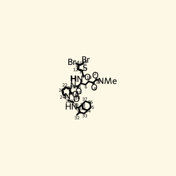 CNC(=O)C(=O)CCC(NC(=O)c1cc(Br)c(Br)s1)C(=O)Nc1cccn(CC(=O)NC2C(C)CC3CCCC2C3)c1=O